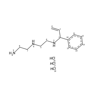 C=CC(NCCNCCN)c1ccccc1.Cl.Cl.Cl